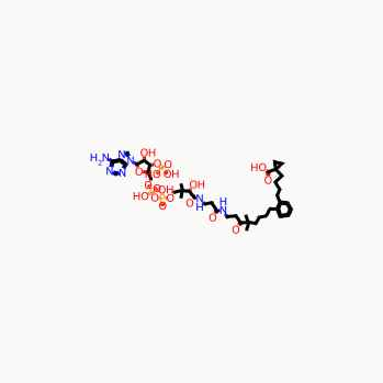 CC(C)(CCCCc1ccccc1CCCCC1(C(=O)O)CC1)C(=O)CCNC(=O)CCNC(=O)C(O)C(C)(C)COP(=O)(O)OP(=O)(O)OCC1OC(n2cnc3c(N)ncnc32)C(O)C1OP(=O)(O)O